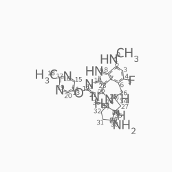 CNc1cc(F)c2c3c1[nH]c1nc(Oc4cnc(C)nc4)nc(c13)N1[C@@H](C2)C[C@@H]2[C@H](N)CC[C@@H]21